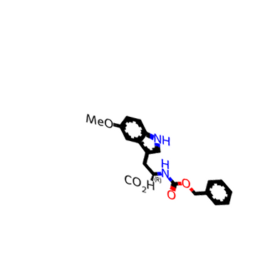 COc1ccc2[nH]cc(C[C@@H](NC(=O)OCc3ccccc3)C(=O)O)c2c1